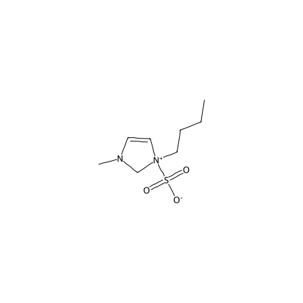 CCCC[N+]1(S(=O)(=O)[O-])C=CN(C)C1